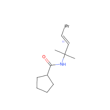 CC(C)/C=C/C(C)(C)NC(=O)C1CCCC1